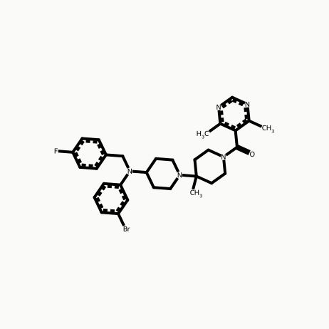 Cc1ncnc(C)c1C(=O)N1CCC(C)(N2CCC(N(Cc3ccc(F)cc3)c3cccc(Br)c3)CC2)CC1